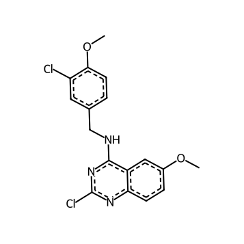 COc1ccc2nc(Cl)nc(NCc3ccc(OC)c(Cl)c3)c2c1